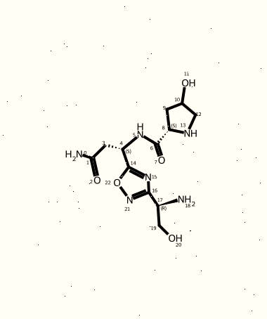 NC(=O)C[C@H](NC(=O)[C@@H]1CC(O)CN1)c1nc([C@@H](N)CO)no1